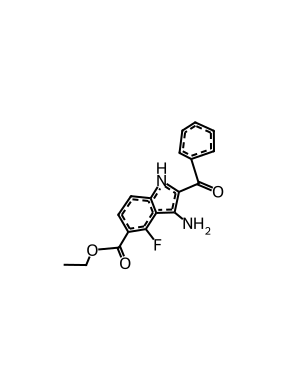 CCOC(=O)c1ccc2[nH]c(C(=O)c3ccccc3)c(N)c2c1F